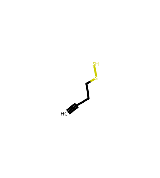 C#CCCSS